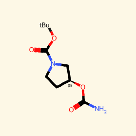 CC(C)(C)OC(=O)N1CC[C@H](OC(N)=O)C1